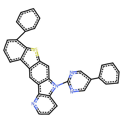 c1ccc(-c2cnc(-n3c4cc5sc6c(-c7ccccc7)cccc6c5cc4c4ncccc43)nc2)cc1